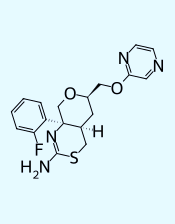 NC1=N[C@@]2(c3ccccc3F)CO[C@@H](COc3cnccn3)C[C@H]2CS1